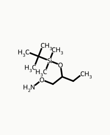 CCC(CON)O[Si](C)(C)C(C)(C)C